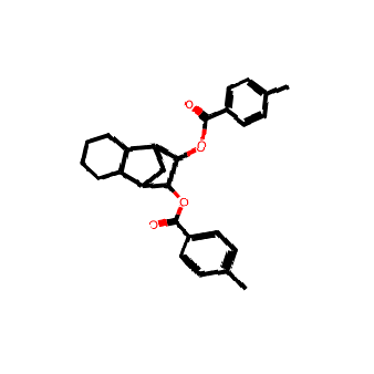 Cc1ccc(C(=O)OC2C3CC(C4CCCCC43)C2OC(=O)c2ccc(C)cc2)cc1